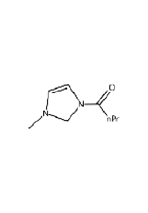 CCCC(=O)N1C=CN(C)C1